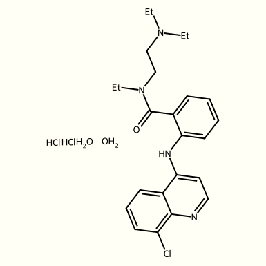 CCN(CC)CCN(CC)C(=O)c1ccccc1Nc1ccnc2c(Cl)cccc12.Cl.Cl.O.O